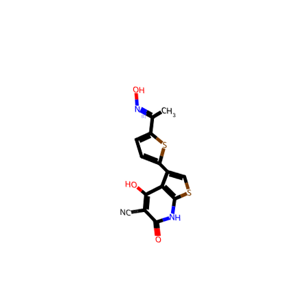 C/C(=N\O)c1ccc(-c2csc3[nH]c(=O)c(C#N)c(O)c23)s1